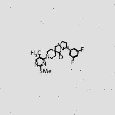 CSc1ncc(C)c(N2CCC3(CC2)CN2CC[C@@H](c4cc(F)cc(F)c4)N2C3=O)n1